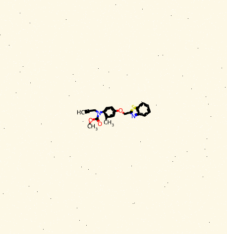 C#CCN(C(=O)OC)c1ccc(OCc2nc3ccccc3s2)cc1C